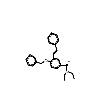 CCN(CC)C(=O)c1ccc(OCc2ccccc2)c(C=Cc2ccccc2)c1